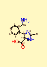 Cc1nc(-c2ccccc2CN)c(C(=O)O)[nH]1